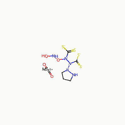 ONON(C(=S)[S-])N(C(=S)[S-])N1CCCN1.[O]=[Mo+2]=[O]